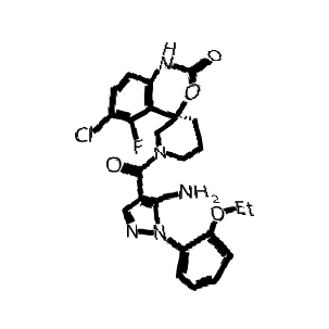 CCOc1ccccc1-n1ncc(C(=O)N2CCC[C@@]3(C2)OC(=O)Nc2ccc(Cl)c(F)c23)c1N